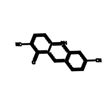 N#Cc1ccc2cc3c(=O)c(C#N)ccc-3[nH]c2c1